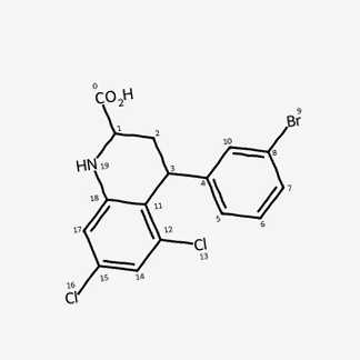 O=C(O)C1CC(c2cccc(Br)c2)c2c(Cl)cc(Cl)cc2N1